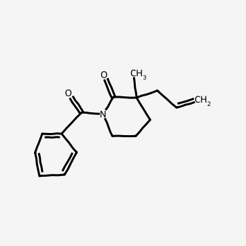 C=CCC1(C)CCCN(C(=O)c2ccccc2)C1=O